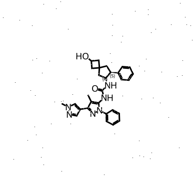 Cc1c(-c2cnn(C)c2)nn(-c2ccccc2)c1NC(=O)N[C@@H]1CC2(CC(O)C2)C[C@H]1c1ccccc1